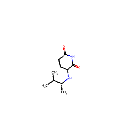 CC(C)[C@H](C)NC1CCC(=O)NC1=O